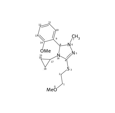 COCCSC1=NN(C)C(c2ccccc2OC)N1C1CC1